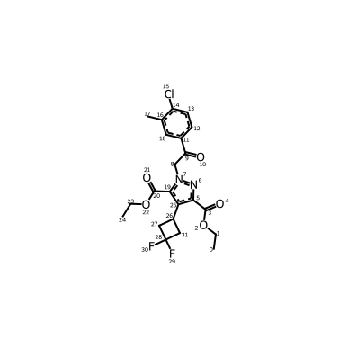 CCOC(=O)c1nn(CC(=O)c2ccc(Cl)c(C)c2)c(C(=O)OCC)c1C1CC(F)(F)C1